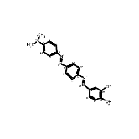 CN(C)c1ccc(N=Nc2ccc(N=Nc3ccc(O)c(Cl)c3)cc2)cc1